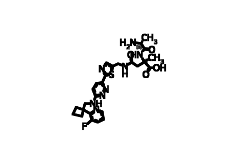 C[C@H](N)C(=O)N[C@@](C)(CC(=O)NCc1cnc(-c2ccc(NCC3(c4ncccc4F)CCC3)nn2)s1)C(=O)O